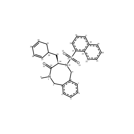 CN1Cc2ccccc2CN(S(=O)(=O)c2cccc3cccnc23)[C@H](CC2C=CC=CC2)C1=O